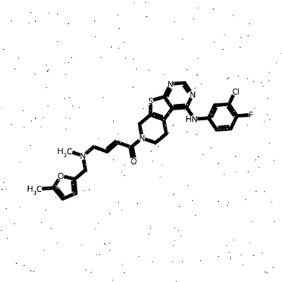 Cc1ccc(CN(C)C/C=C/C(=O)N2CCc3c(sc4ncnc(Nc5ccc(F)c(Cl)c5)c34)C2)o1